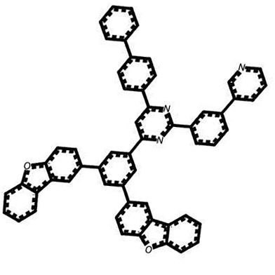 c1ccc(-c2ccc(-c3cc(-c4cc(-c5ccc6oc7ccccc7c6c5)cc(-c5ccc6oc7ccccc7c6c5)c4)nc(-c4cccc(-c5cccnc5)c4)n3)cc2)cc1